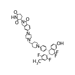 Cc1cc(F)c([C@H]2CC(F)(F)c3cc(O)ccc3[C@H]2c2ccc(N3CCC(CN4CCN(c5ccc6c(c5)CN([C@H]5CCC(=O)NC5=O)C6=O)CC4)CC3)cc2)cc1F